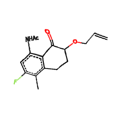 C=CCOC1CCc2c(C)c(F)cc(NC(C)=O)c2C1=O